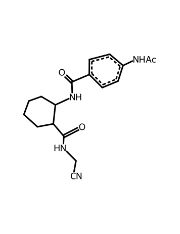 CC(=O)Nc1ccc(C(=O)NC2CCCCC2C(=O)NCC#N)cc1